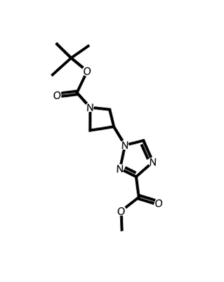 COC(=O)c1ncn(C2CN(C(=O)OC(C)(C)C)C2)n1